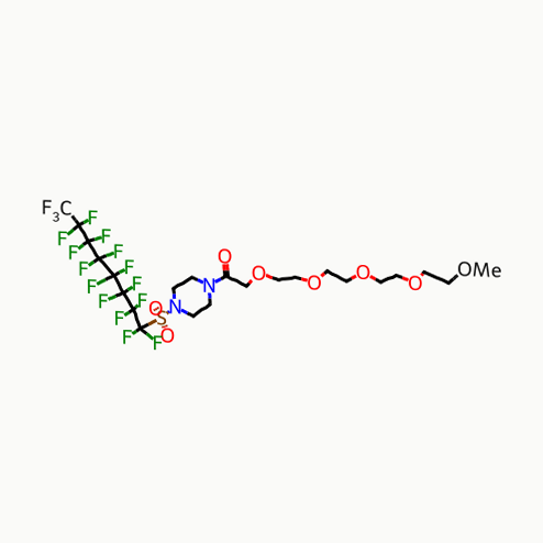 COCCOCCOCCOCCOCC(=O)N1CCN(S(=O)(=O)C(F)(F)C(F)(F)C(F)(F)C(F)(F)C(F)(F)C(F)(F)C(F)(F)C(F)(F)F)CC1